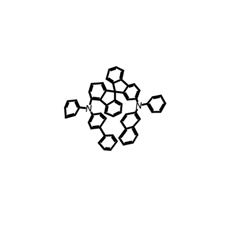 c1ccc(-c2ccc(N(c3ccccc3)c3cccc4c3-c3ccccc3C43c4ccccc4-c4ccc(N(c5ccccc5)c5ccc6ccccc6c5)cc43)cc2)cc1